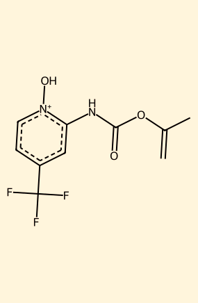 C=C(C)OC(=O)Nc1cc(C(F)(F)F)cc[n+]1O